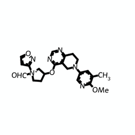 COc1ncc(N2CCc3ncnc(OC4CC[N+](C=O)(c5ccon5)C4)c3C2)cc1C